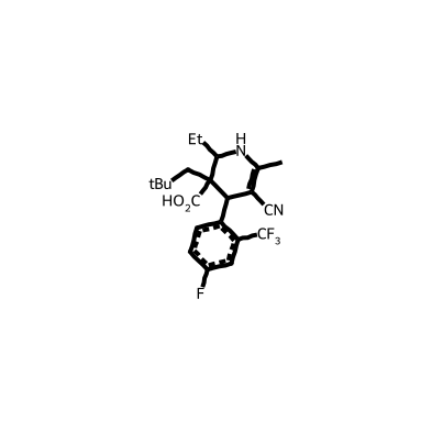 CCC1NC(C)=C(C#N)C(c2ccc(F)cc2C(F)(F)F)C1(CC(C)(C)C)C(=O)O